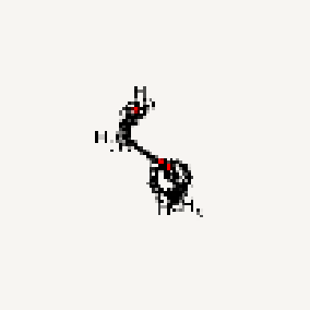 Cc1nc2c3cc(C4CCN(CCCCCCCCCCCC(=O)N(C)Cc5scc6c5CN(C5CCC(=O)NC5=O)C6=O)CC4)c(=O)n(c3n1)CCCC/C=C/CN1CCC(CC1)C(F)(F)c1cccc(c1)[C@@H](C)N2